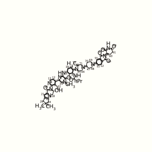 CC(C)C(=O)Nc1cc(Nc2nc(-c3ccnc(N4CCn5c(cc6c5CC(C)(C)C6)C4=O)c3CO)cn(C)c2=O)ccc1N1CCN(C2CCN(c3ccc4c(c3)C(=O)N([C@H]3CCC(=O)NC3=O)C4=O)CC2)C[C@@H]1C